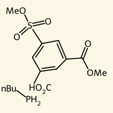 CCCCP.COC(=O)c1cc(C(=O)O)cc(S(=O)(=O)OC)c1